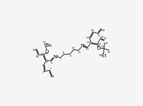 C=C\C=C/C(/C=N/CCCCC/N=C/C(/C=C\C=C)=C(/C=C)OC(C)(C)CC)=C(\C=C)OC(C)(C)C